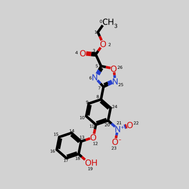 CCOC(=O)c1nc(-c2ccc(Oc3ccccc3O)c([N+](=O)[O-])c2)no1